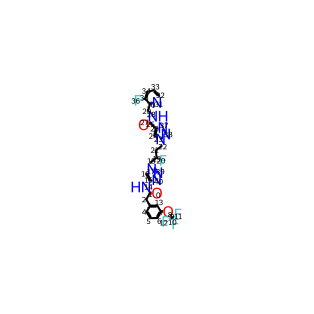 O=C(Cc1cccc(OC(F)(F)F)c1)Nc1cn(CC(F)CCn2cc(C(=O)NCc3ncccc3F)nn2)nn1